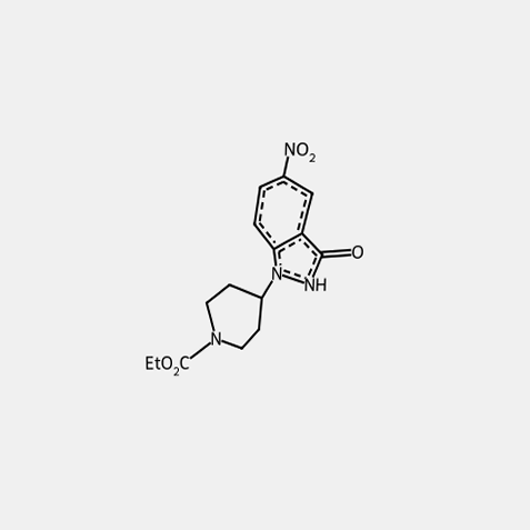 CCOC(=O)N1CCC(n2[nH]c(=O)c3cc([N+](=O)[O-])ccc32)CC1